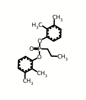 CCCP(=O)(Oc1cccc(C)c1C)Oc1cccc(C)c1C